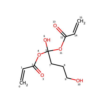 C=CC(=O)OC(O)(CCCO)OC(=O)C=C